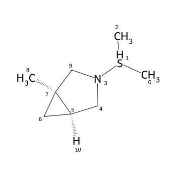 C[SH](C)N1C[C@H]2C[C@@]2(C)C1